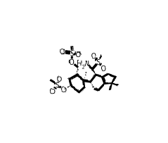 CC1(C)CCC2=C1CC[C@H]([C@@]1(C)CC[C@H](OS(C)(=O)=O)C[C@@H]1COS(C)(=O)=O)[C@H]2C(N)S(C)(=O)=O